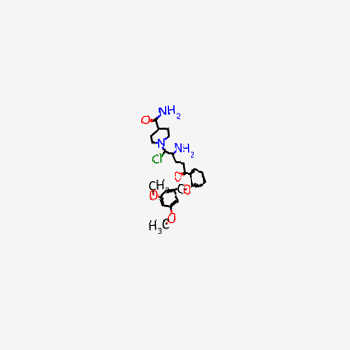 COc1cc(COc2ccccc2C(=O)CCC(N)C(Cl)N2CCC(C(N)=O)CC2)cc(OC)c1